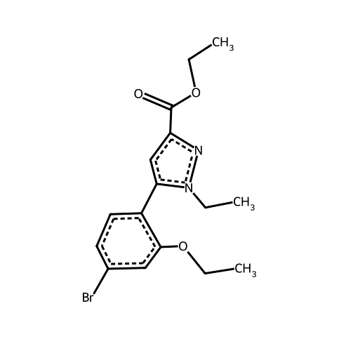 CCOC(=O)c1cc(-c2ccc(Br)cc2OCC)n(CC)n1